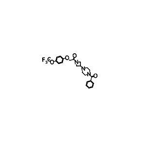 O=C(COc1ccc(OC(F)(F)F)cc1)N1CC(N2CCN(C(=O)c3ccccc3)CC2)C1